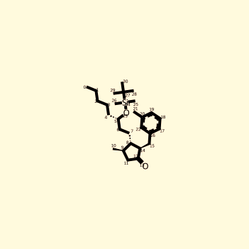 CCCCC[C@@H](CC[C@H]1[C@H](C)CC(=O)[C@@H]1Cc1cccc(C)c1)O[Si](C)(C)C(C)(C)C